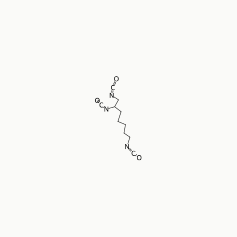 O=C=NCCCCCC(CN=C=O)N=C=O